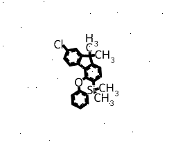 CC1(C)c2cc(Cl)ccc2-c2c1ccc1c2Oc2ccccc2[Si]1(C)C